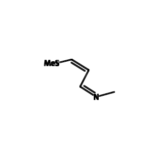 C/N=C\C=C/SC